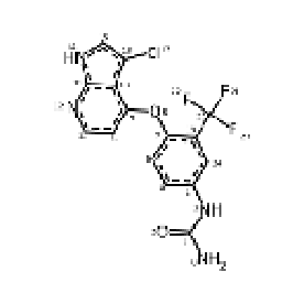 NC(=O)Nc1ccc(Oc2ccnc3[nH]cc(Cl)c23)c(C(F)(F)F)c1